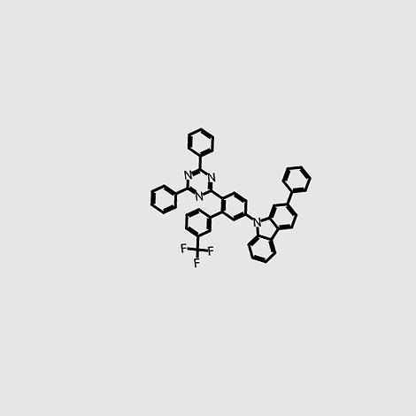 FC(F)(F)c1cccc(-c2cc(-n3c4ccccc4c4ccc(-c5ccccc5)cc43)ccc2-c2nc(-c3ccccc3)nc(-c3ccccc3)n2)c1